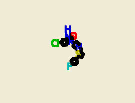 O=c1[nH]c2cc(Cl)ccc2n1C1CCN(CC2CCC(c3ccc(F)cc3)S2)CC1